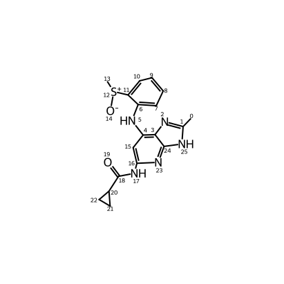 Cc1nc2c(Nc3ccccc3[S+](C)[O-])cc(NC(=O)C3CC3)nc2[nH]1